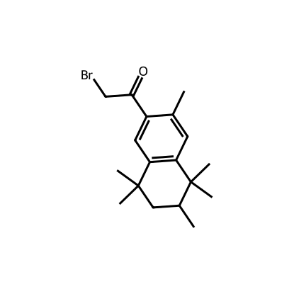 Cc1cc2c(cc1C(=O)CBr)C(C)(C)CC(C)C2(C)C